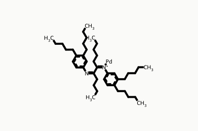 CCCCCC(C(CCCC)=Nc1ccc(CCCCC)c(CCCCC)c1)=[N+]([Pd])c1ccc(CCCCC)c(CCCCC)c1